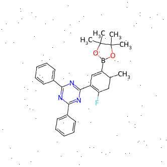 CC1CC(F)=C(c2nc(-c3ccccc3)nc(-c3ccccc3)n2)C=C1B1OC(C)(C)C(C)(C)O1